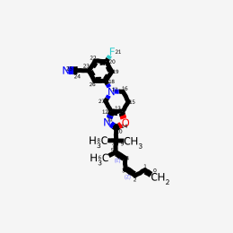 C=C/C=C\C=C(/C)C(C)(C)c1nc2c(o1)CCN(c1cc(F)cc(C#N)c1)C2